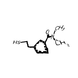 CN(C)C(=O)c1cccc(CCS)c1